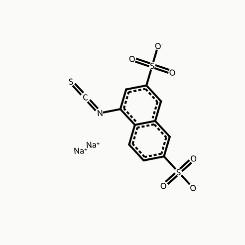 O=S(=O)([O-])c1ccc2c(N=C=S)cc(S(=O)(=O)[O-])cc2c1.[Na+].[Na+]